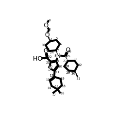 COCO[C@H]1CC[C@H](N(c2cc(C3=CCC(C)(C)CC3)sc2C(=O)O)C(=O)[C@H]2CC[C@H](C)CC2)CC1